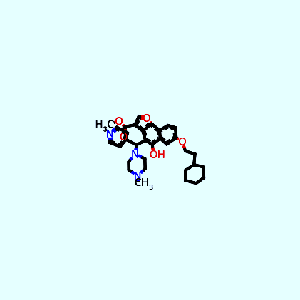 COC(=O)c1coc2c1c(C(c1ccncc1)N1CCN(C)CC1)c(O)c1cc(OCCC3CCCCC3)ccc12